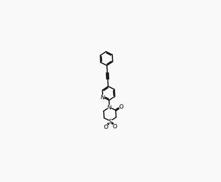 O=C1CS(=O)(=O)CCN1c1ccc(C#Cc2ccccc2)cn1